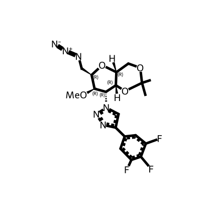 CO[C@@H]1[C@@H](n2cc(-c3cc(F)c(F)c(F)c3)nn2)[C@H]2OC(C)(C)OC[C@H]2O[C@@H]1CN=[N+]=[N-]